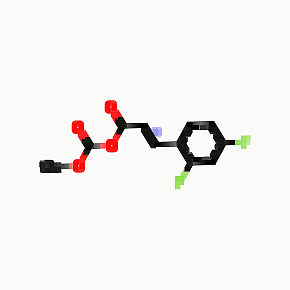 CC(C)(C)OC(=O)OC(=O)/C=C/c1ccc(F)cc1F